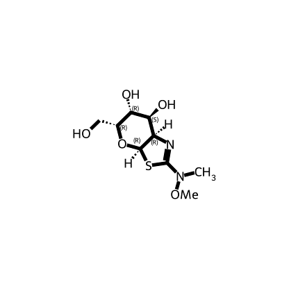 CON(C)C1=N[C@@H]2[C@H](O)[C@@H](O)[C@@H](CO)O[C@@H]2S1